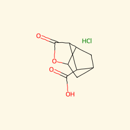 Cl.O=C(O)C1C2CC3OC(=O)C1C3C2